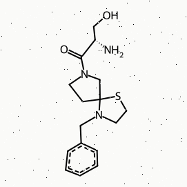 N[C@@H](CO)C(=O)N1CCC2(C1)SCCN2Cc1ccccc1